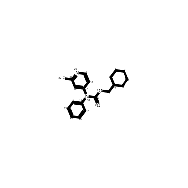 O=C(OCC1CCCCC1)N(c1ccccc1)c1ccnc(F)c1